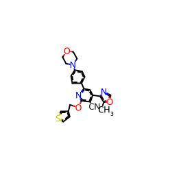 Cc1ocnc1-c1cc(-c2ccc(N3CCOCC3)cc2)nc(OCc2ccsc2)c1C#N